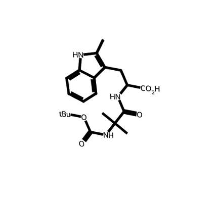 Cc1[nH]c2ccccc2c1CC(NC(=O)C(C)(C)NC(=O)OC(C)(C)C)C(=O)O